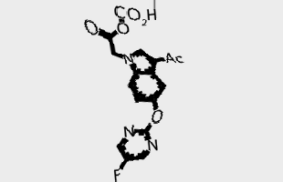 CC(=O)c1cn(CC(=O)OC(=O)O)c2ccc(Oc3ncc(F)cn3)cc12